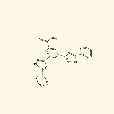 COC(=O)c1cc(-c2cc(-c3ccccc3)[nH]n2)cc(-c2cc(-c3ccccc3)[nH]n2)c1